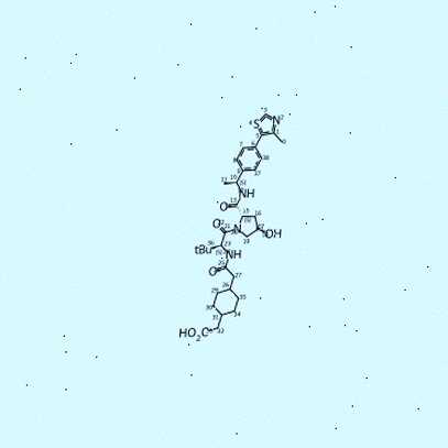 Cc1ncsc1-c1ccc([C@H](C)NC(=O)[C@@H]2C[C@@H](O)CN2C(=O)[C@@H](NC(=O)CC2CCC(CC(=O)O)CC2)C(C)(C)C)cc1